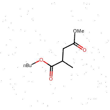 CCCCOC(=O)C(C)CC(=O)OC